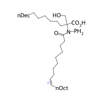 CCCCCCCC/C=C\CCCCCCCC(=O)N(P)C(CO)(CCCCCCCCCCCCCCCC)C(=O)O